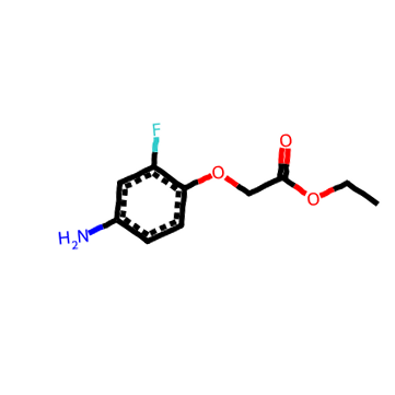 CCOC(=O)COc1ccc(N)cc1F